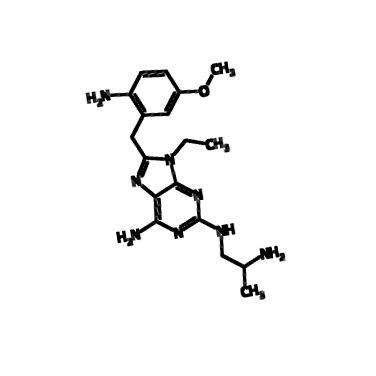 CCn1c(Cc2cc(OC)ccc2N)nc2c(N)nc(NCC(C)N)nc21